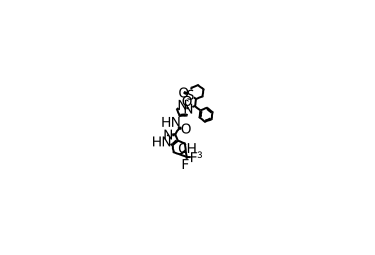 CC12Cc3[nH]nc(C(=O)Nc4cnn(C(c5ccccc5)C5CCCCS5(=O)=O)c4)c3CC1C2(F)F